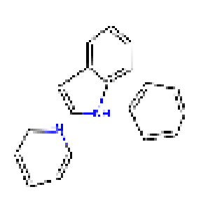 c1ccc2[nH]ccc2c1.c1ccccc1.c1ccncc1